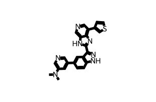 CN(C)c1cncc(-c2ccc3[nH]nc(-c4nc5c(-c6ccsc6)cncc5[nH]4)c3c2)c1